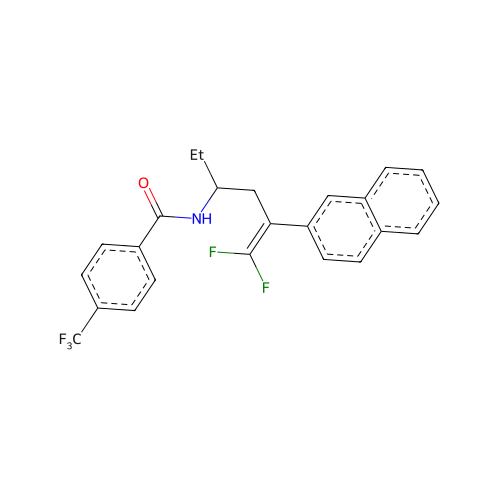 CCC(CC(=C(F)F)c1ccc2ccccc2c1)NC(=O)c1ccc(C(F)(F)F)cc1